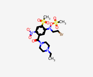 CCN1CCN(C(=O)c2cc(N(CCBr)OS(C)(=O)=O)c(S(C)(=O)=O)cc2[N+](=O)[O-])CC1